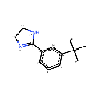 CC(C)(C)c1cccc(C2=NCCN2)c1